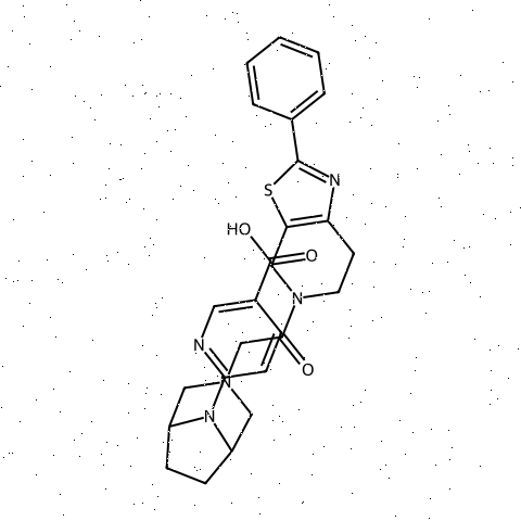 O=C(O)c1ccc(N2C3CCC2CN(CC(=O)N2CCc4nc(-c5ccccc5)sc4C2)C3)nc1